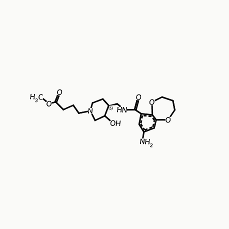 COC(=O)CCCN1CC[C@@H](CNC(=O)c2cc(N)cc3c2OCCCO3)C(O)C1